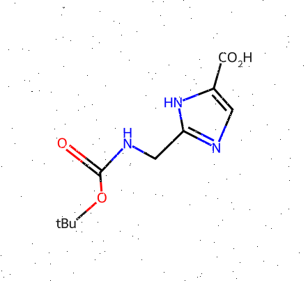 CC(C)(C)OC(=O)NCc1ncc(C(=O)O)[nH]1